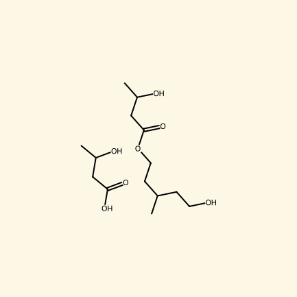 CC(O)CC(=O)O.CC(O)CC(=O)OCCC(C)CCO